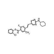 Cc1cc(NSc2ccccc2Cl)c(F)cc1/C=C/c1cnc(NC2CCCCC2)nc1